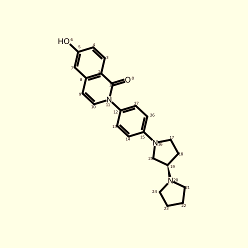 O=c1c2ccc(O)cc2ccn1-c1ccc(N2CC[C@@H](N3CCCC3)C2)cc1